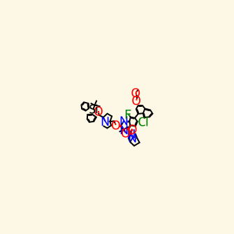 COCOc1cc(-c2c(Cl)cc3c(N4CC5CCC(C4)N5C(=O)OC(C)(C)C)nc(OCC45CCCN4C(CO[Si](c4ccccc4)(c4ccccc4)C(C)(C)C)CC5)nc3c2F)c2ccccc2c1